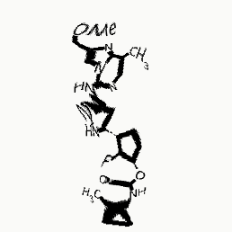 COCc1cn2c(Nc3cc([C@@H]4CC[C@H](OC(=O)NC5(C)CC5)[C@H]4F)[nH]n3)ncc(C)c2n1